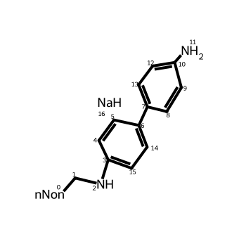 CCCCCCCCCCNc1ccc(-c2ccc(N)cc2)cc1.[NaH]